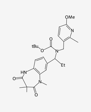 CCC(c1ccc2c(c1)N(C)C(=O)C(C)(C)C(=O)N2)N(Cc1ccc(OC)nc1C)C(=O)OC(C)(C)C